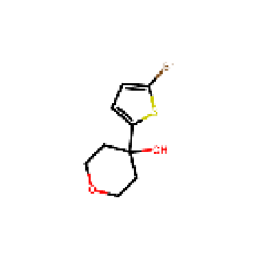 OC1(c2ccc(Br)s2)CCOCC1